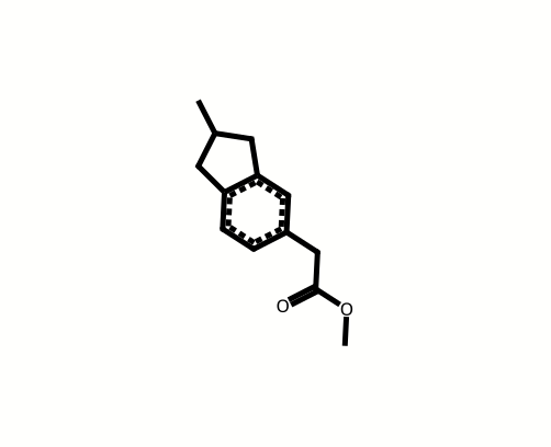 COC(=O)Cc1ccc2c(c1)CC(C)C2